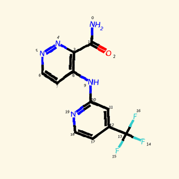 NC(=O)c1nnccc1Nc1cc(C(F)(F)F)ccn1